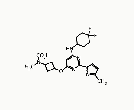 Cc1ccn(-c2nc(NC3CCC(F)(F)CC3)cc(OC3CC(N(C)C(=O)O)C3)n2)n1